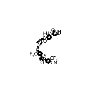 CC1(C)C(=O)N(c2ccc(C#N)c(C(F)(F)F)c2)C(=S)N1c1ccc(OCCN2CCN(CC(=O)Nc3cccc(NC4CCC(=O)NC4=O)c3)CC2)c(C(F)(F)F)c1